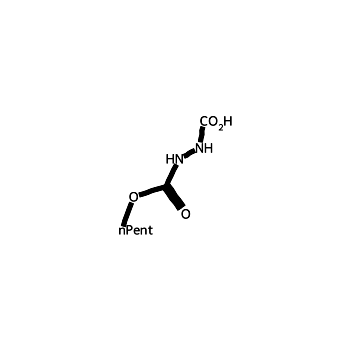 CCCCCOC(=O)NNC(=O)O